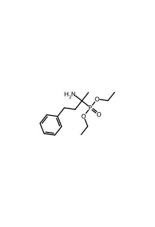 CCOP(=O)(OCC)C(C)(N)CCc1ccccc1